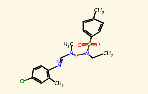 CCN(SN(C)/C=N/c1ccc(Cl)cc1C)S(=O)(=O)c1ccc(C)cc1